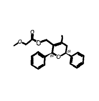 COCC(=O)OCC1=C(C)C[C@@H](c2ccccc2)O[C@H]1c1ccccc1